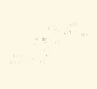 CC(CSSCC(C)C(=O)OC1CC[C@]2(C)C3=C(CC[C@H]2C1(C)C)[C@]1(C)CC[C@H]([C@H](C)CCCC(C)(C)C)[C@@]1(C)CC3)C(=O)O